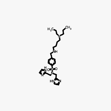 CCCN(CCC)CCCCNCc1ccc(S(=O)(=O)N(Cc2ncc[nH]2)Cc2ncc[nH]2)cc1